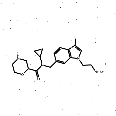 CC(=O)NCCn1cc(Cl)c2ccc(CN(C(=O)C3CNCCO3)C3CC3)cc21